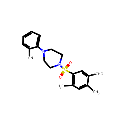 Cc1cc(C)c(S(=O)(=O)N2CCN(c3ccccc3C#N)CC2)cc1C=O